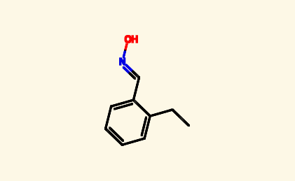 CCc1ccccc1C=NO